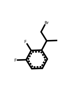 C[C](CBr)c1cccc(F)c1F